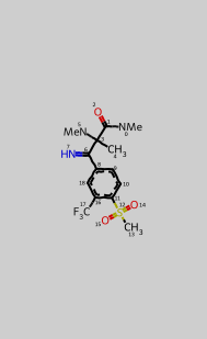 CNC(=O)C(C)(NC)C(=N)c1ccc(S(C)(=O)=O)c(C(F)(F)F)c1